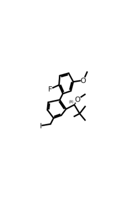 COc1ccc(F)c(-c2ccc(CI)cc2[C@H](OC)C(C)(C)C)c1